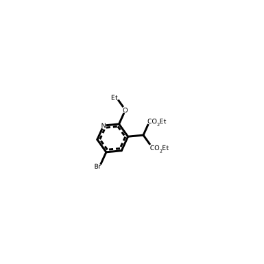 CCOC(=O)C(C(=O)OCC)c1cc(Br)cnc1OCC